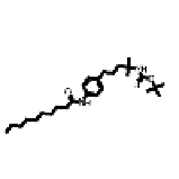 CCCCCCCCCC(=O)Nc1ccc(CCCC(C)(C)NC(=O)OC(C)(C)C)cc1